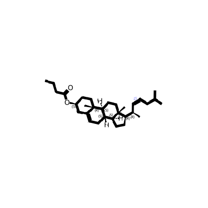 CCCC(=O)O[C@H]1CC[C@@]2(C)C(=CC[C@H]3[C@@H]4CC[C@H]([C@H](C)/C=C\CC(C)C)[C@@]4(C)CC[C@@H]32)C1